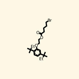 CCC(C)(C)c1ccc(C(C)(C)CC)c(OCCOC(=O)CCCCBr)c1